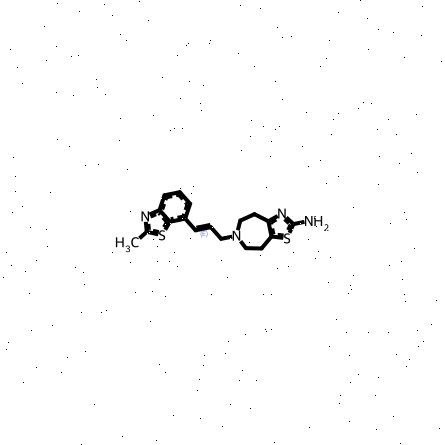 Cc1nc2cccc(/C=C/CN3CCc4nc(N)sc4CC3)c2s1